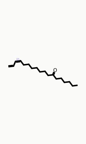 C=C/C=C\CCCCCCCC(=O)CCCCCC